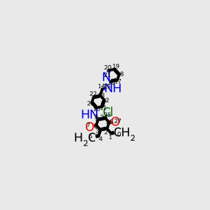 C=CC1=C(C=C)C(=O)C(Nc2ccc(CNc3ccccn3)cc2)=C(Cl)C1=O